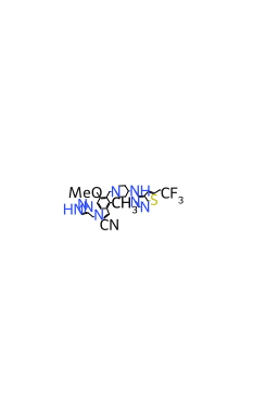 COc1cc2c(cc(C#N)n2Cc2c[nH]nn2)c(C)c1CN1CCC(Nc2ncnc3sc(CC(F)(F)F)cc23)CC1